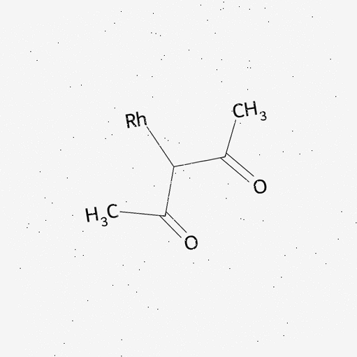 CC(=O)[CH]([Rh])C(C)=O